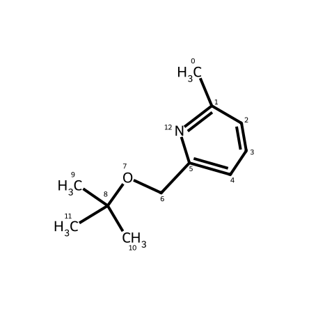 Cc1cccc(COC(C)(C)C)n1